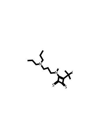 CCCN(CCC)CCCN(C)c1c(C(C)(C)I)c(=S)c1=S